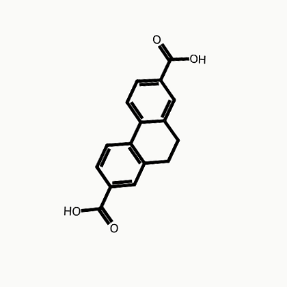 O=C(O)c1ccc2c(c1)CCc1cc(C(=O)O)ccc1-2